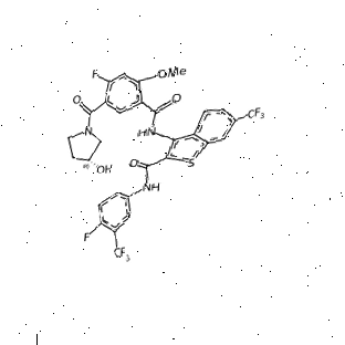 COc1cc(F)c(C(=O)N2CC[C@@H](O)C2)cc1C(=O)Nc1c(C(=O)Nc2ccc(F)c(C(F)(F)F)c2)sc2cc(C(F)(F)F)ccc12